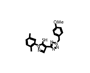 COc1ccc(Cn2nnc(-c3cnn(-c4cc(C)ccc4C)c3S)n2)cc1